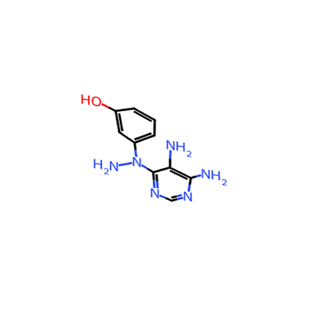 Nc1ncnc(N(N)c2cccc(O)c2)c1N